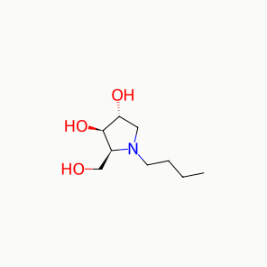 CCCCN1C[C@@H](O)[C@H](O)[C@@H]1CO